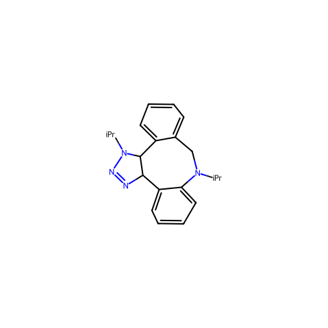 CC(C)N1Cc2ccccc2C2C(N=NN2C(C)C)c2ccccc21